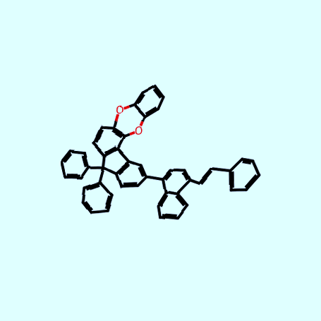 C(=C\c1ccc(-c2ccc3c(c2)-c2c(ccc4c2Oc2ccccc2O4)C3(c2ccccc2)c2ccccc2)c2ccccc12)/c1ccccc1